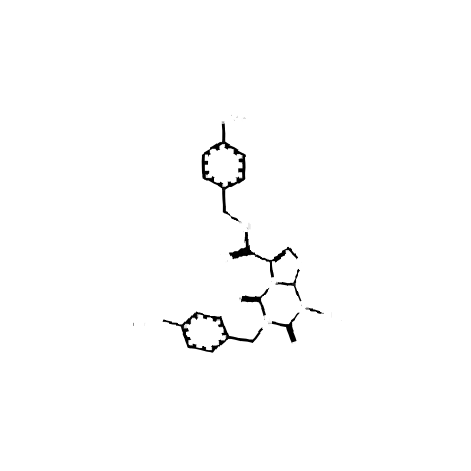 COc1ccc(CNC(=O)C2=CSC3N(C)C(=O)N(Cc4ccc(C(=O)O)cc4)C(=O)N23)cc1